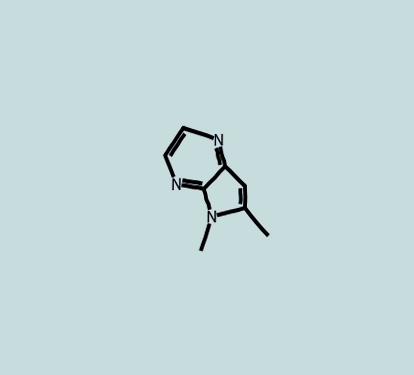 Cc1cc2nccnc2n1C